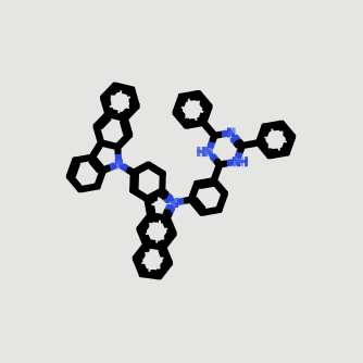 C1=CC2=C(CC1)N(C1=Cc3c(n(C4=CCCC(C5NC(c6ccccc6)=NC(c6ccccc6)N5)=C4)c4cc5ccccc5cc34)CC1)C1C=c3ccccc3=CC21